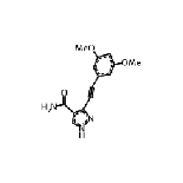 COc1cc(C#Cc2n[nH]cc2C(N)=O)cc(OC)c1